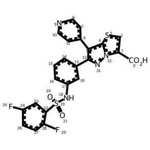 O=C(O)c1csc2c(-c3ccncc3)c(-c3cccc(NS(=O)(=O)c4cc(F)ccc4F)c3)nn12